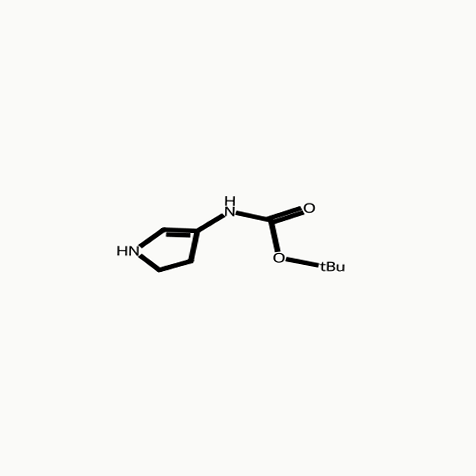 CC(C)(C)OC(=O)NC1=CNCC1